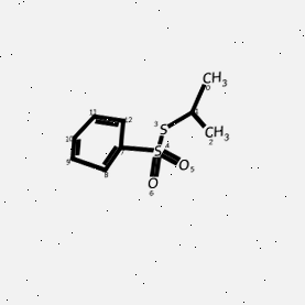 CC(C)SS(=O)(=O)c1ccccc1